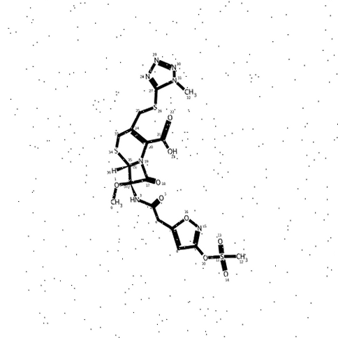 CO[C@@]1(NC(=O)Cc2cc(OS(C)(=O)=O)no2)C(=O)N2C(C(=O)O)=C(CSc3nnnn3C)CS[C@H]21